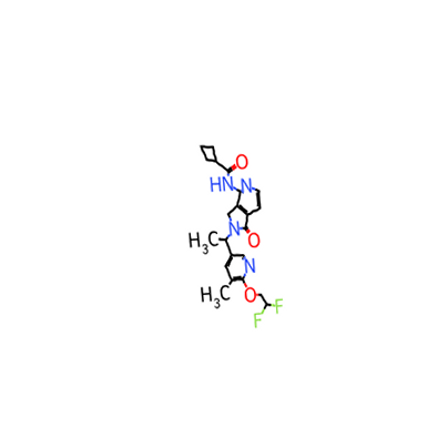 Cc1cc(C(C)N2Cc3c(ccnc3NC(=O)C3CCC3)C2=O)cnc1OCC(F)F